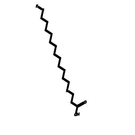 O=C(O)CCSCCCCCCCCCCCCSF